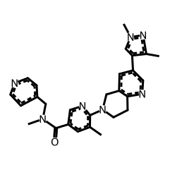 Cc1cc(C(=O)N(C)Cc2ccncc2)cnc1N1CCc2ncc(-c3cn(C)nc3C)cc2C1